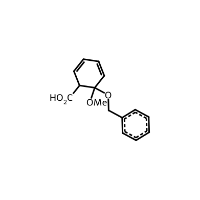 COC1(OCc2ccccc2)C=CC=CC1C(=O)O